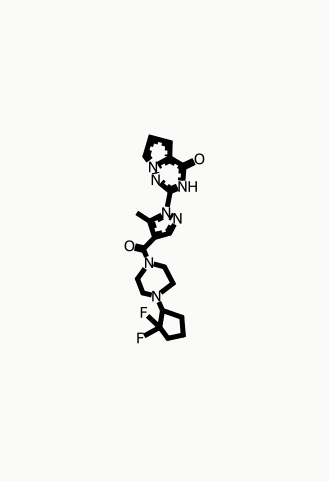 Cc1c(C(=O)N2CCN(C3CCCC3(F)F)CC2)cnn1-c1nn2cccc2c(=O)[nH]1